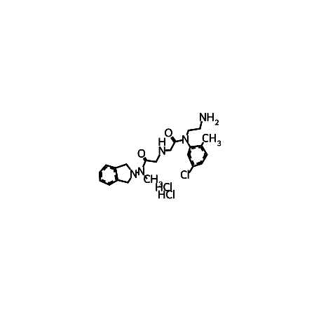 Cc1ccc(Cl)cc1N(CCN)C(=O)CNCC(=O)N(C)N1Cc2ccccc2C1.Cl.Cl